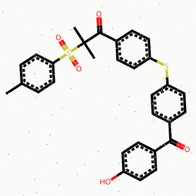 Cc1ccc(S(=O)(=O)C(C)(C)C(=O)c2ccc(Sc3ccc(C(=O)c4ccc(O)cc4)cc3)cc2)cc1